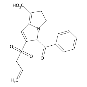 C=CCS(=O)(=O)C1=CC2=C(C(=O)O)CCN2C1C(=O)c1ccccc1